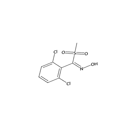 CS(=O)(=O)C(=NO)c1c(Cl)cccc1Cl